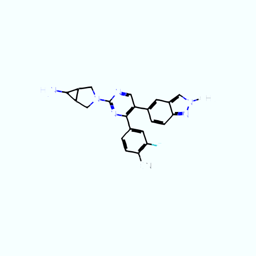 Cn1cc2cc(-c3cnc(N4CC5C(N)C5C4)nc3-c3ccc(C#N)c(F)c3)ccc2n1